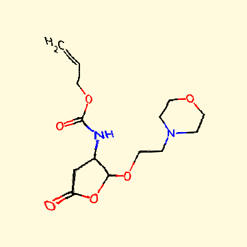 C=CCOC(=O)NC1CC(=O)OC1OCCN1CCOCC1